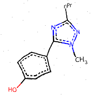 CCCc1nc(-c2ccc(O)cc2)n(C)n1